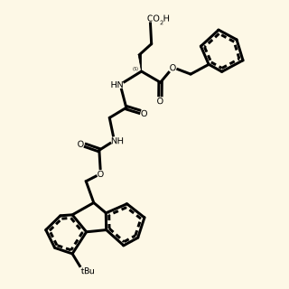 CC(C)(C)c1cccc2c1-c1ccccc1C2COC(=O)NCC(=O)N[C@@H](CCC(=O)O)C(=O)OCc1ccccc1